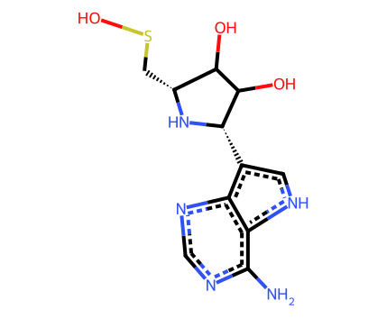 Nc1ncnc2c([C@@H]3N[C@H](CSO)C(O)C3O)c[nH]c12